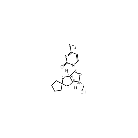 Nc1ccn([C@@H]2O[C@H](CO)[C@H]3OC4(CCCC4)O[C@H]32)c(=O)n1